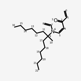 C=CC(=O)/C=C\N(C=C)C(C)(CCCCCC)CCCCCC